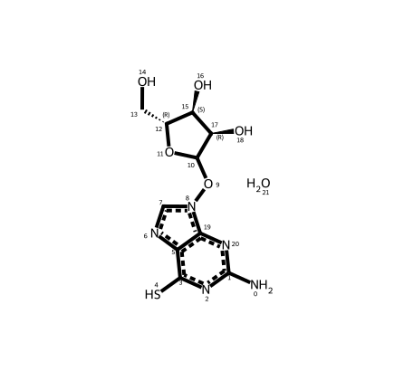 Nc1nc(S)c2ncn(OC3O[C@H](CO)[C@@H](O)[C@H]3O)c2n1.O